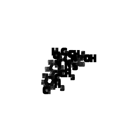 CC(C)[C@@H](Nc1nc(CO)cs1)C(=O)N1CCC(c2ccc(Cl)cc2)C(C)(C)C1